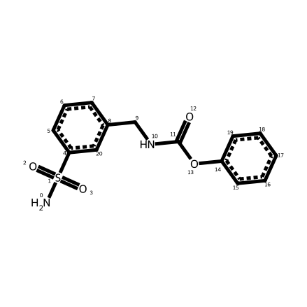 NS(=O)(=O)c1cccc(CNC(=O)Oc2ccccc2)c1